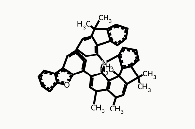 CC1C=C2C(C)(C)c3cccc4c3C2(C)C2=C1C(C)C=C(C1=C=C=Cc3c1oc1ccccc31)C2(C)N4C1=C2C(=CCC1)C(C)(C)c1ccccc12